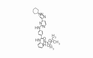 CC(C)(C)OC(=O)Nc1ccccc1NC(=O)c1ccc(Nc2nccc(-c3cn(C4CCCCC4)nn3)n2)cc1